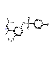 C/C(=C/C(C)C)c1cc(NS(=O)(=O)c2ccc(F)cc2)ccc1N